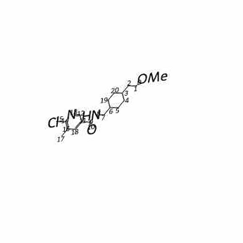 COCCC1CCC(CNC(=O)c2cnc(Cl)c(C)c2)CC1